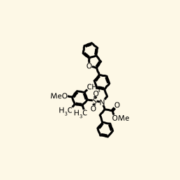 COC(=O)C(Cc1ccccc1)N(Cc1ccc(-c2cc3ccccc3o2)cc1)S(=O)(=O)c1c(C)cc(OC)c(C)c1C